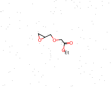 CCOC(=O)COCC1CO1